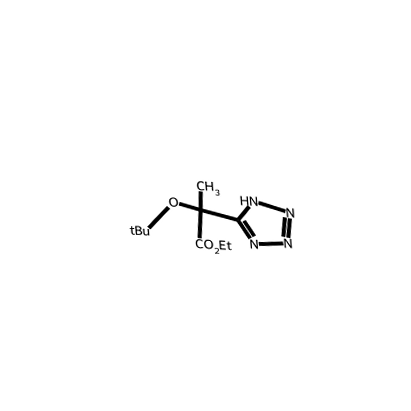 CCOC(=O)C(C)(OC(C)(C)C)c1nnn[nH]1